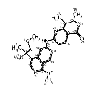 COC[C@@](C)(N)c1cnc(OC)c2cnc(Nc3ccc4c(n3)[C@@H](C)[C@H](C)OC4=O)cc12